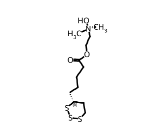 C[N+](C)(O)CCOC(=O)CCCC[C@@H]1CCSSS1